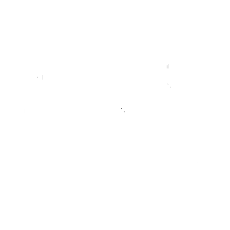 C=C(Nc1ccc(C(C(F)(F)F)C(F)(F)F)cc1)C1c2ccc(S)cc2CN1C(C)C